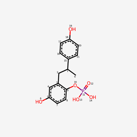 CC(Cc1cc(O)ccc1OP(=O)(O)O)c1ccc(O)cc1